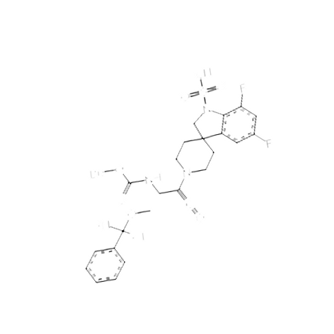 [2H]C([2H])(OC[C@H](NC(=O)OC(C)(C)C)C(=C=O)N1CCC2(CC1)CN(S(C)(=O)=O)c1c(F)cc(F)cc12)c1ccccc1